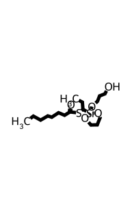 CCCCCCCC(=O)SC(CC)[Si]1(OCCCO)OCCCO1